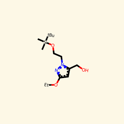 CCOc1cc(CO)n(CCO[Si](C)(C)C(C)(C)C)n1